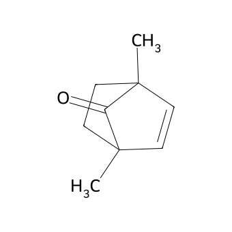 CC12C=CC(C)(CC1)C2=O